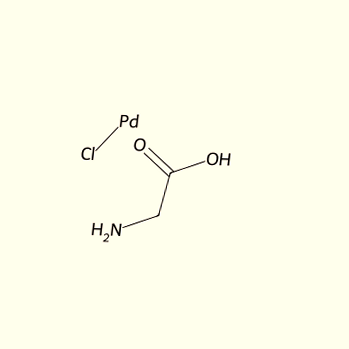 NCC(=O)O.[Cl][Pd]